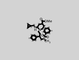 COC(=O)C1CCN(CCC(CN(C)S(=O)(=O)c2ccccc2)c2ccccc2)C(NCC2CC2)C1